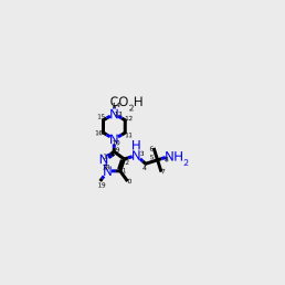 Cc1c(NCC(C)(C)N)c(N2CCN(C(=O)O)CC2)nn1C